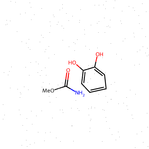 COC(N)=O.Oc1ccccc1O